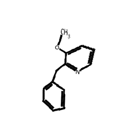 COc1cccnc1Cc1ccccc1